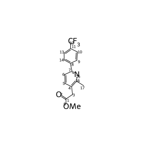 COC(=O)Cc1ccc(-c2ccc(C(F)(F)F)cc2)nc1C